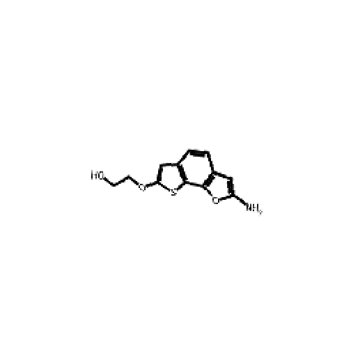 Nc1cc2ccc3cc(OCCO)sc3c2o1